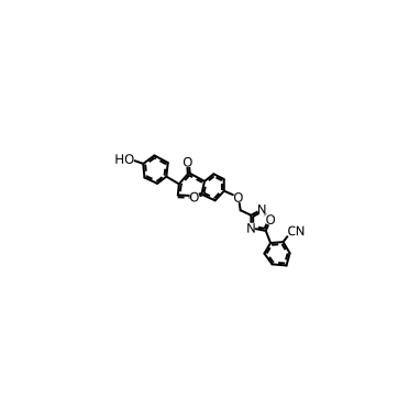 N#Cc1ccccc1-c1nc(COc2ccc3c(=O)c(-c4ccc(O)cc4)coc3c2)no1